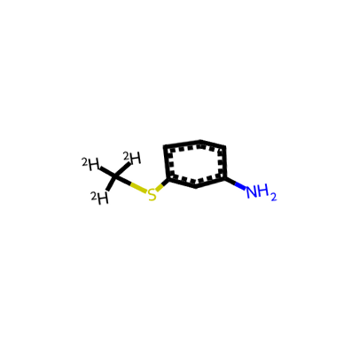 [2H]C([2H])([2H])Sc1cccc(N)c1